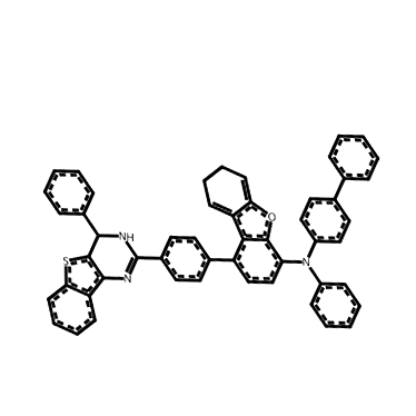 C1=c2oc3c(N(c4ccccc4)c4ccc(-c5ccccc5)cc4)ccc(-c4ccc(C5=Nc6c(sc7ccccc67)C(c6ccccc6)N5)cc4)c3c2=CCC1